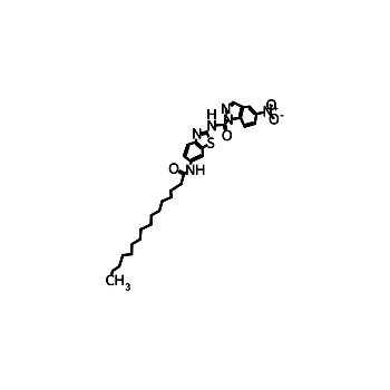 CCCCCCCCCCCCCCCC(=O)Nc1ccc2nc(NC(=O)n3ncc4cc([N+](=O)[O-])ccc43)sc2c1